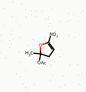 CC(=O)OC1(C)CC=C([N+](=O)[O-])O1